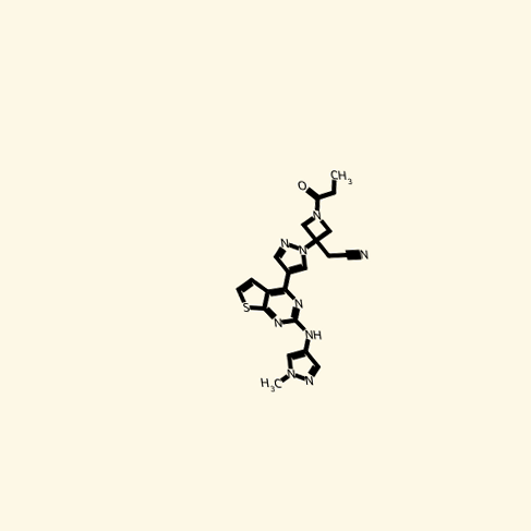 CCC(=O)N1CC(CC#N)(n2cc(-c3nc(Nc4cnn(C)c4)nc4sccc34)cn2)C1